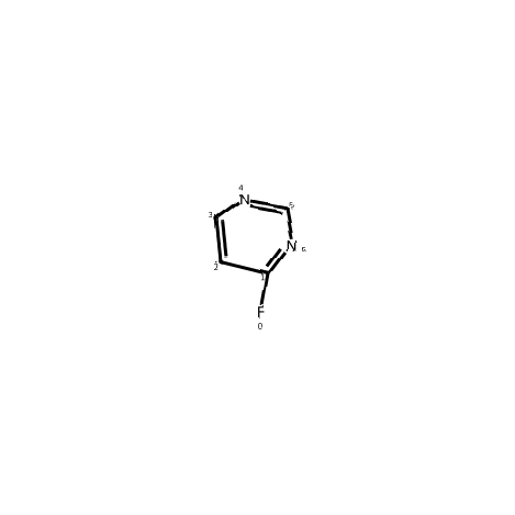 Fc1[c]cn[c]n1